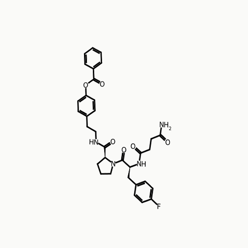 NC(=O)CCC(=O)N[C@@H](Cc1ccc(F)cc1)C(=O)N1CCC[C@H]1C(=O)NCCc1ccc(OC(=O)c2ccccc2)cc1